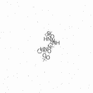 CC(C)(C)C(=O)OC[C@@H](NC(=O)N1Cc2c(NC(=O)C3([Si](C)(C)C)CCC3)n[nH]c2C1(C)C)c1ccccc1